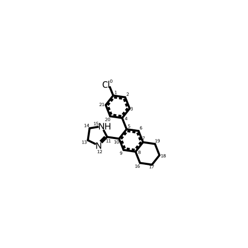 Clc1ccc(-c2cc3c(cc2C2=NCCN2)CCCC3)cc1